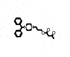 CC(=O)CC(=O)OCCCN1CCN(C(c2ccccc2)c2ccccc2)CC1